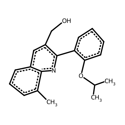 Cc1cccc2cc(CO)c(-c3ccccc3OC(C)C)nc12